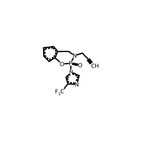 C#CCN1Cc2ccccc2OP1(=O)n1cnc(C(F)(F)F)c1